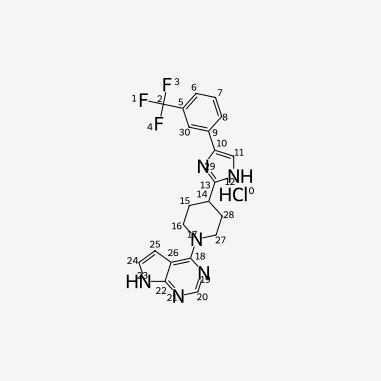 Cl.FC(F)(F)c1cccc(-c2c[nH]c(C3CCN(c4ncnc5[nH]ccc45)CC3)n2)c1